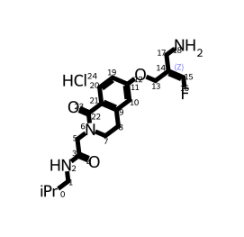 CC(C)CNC(=O)CN1CCc2cc(OC/C(=C\F)CN)ccc2C1=O.Cl